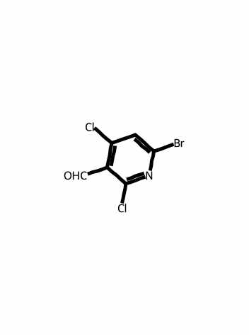 O=Cc1c(Cl)cc(Br)nc1Cl